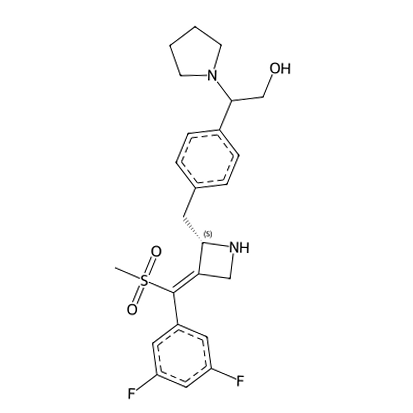 CS(=O)(=O)C(=C1CN[C@H]1Cc1ccc(C(CO)N2CCCC2)cc1)c1cc(F)cc(F)c1